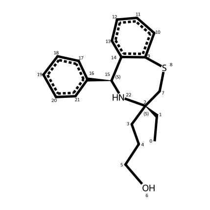 CC[C@]1(CCCO)CSc2ccccc2[C@H](c2ccccc2)N1